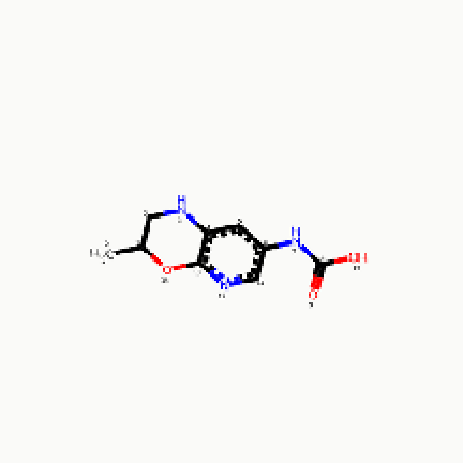 CC1CNc2cc(NC(=O)O)cnc2O1